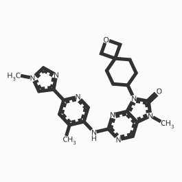 Cc1cc(-c2cn(C)cn2)ncc1Nc1ncc2c(n1)n(C1CCC3(CC1)COC3)c(=O)n2C